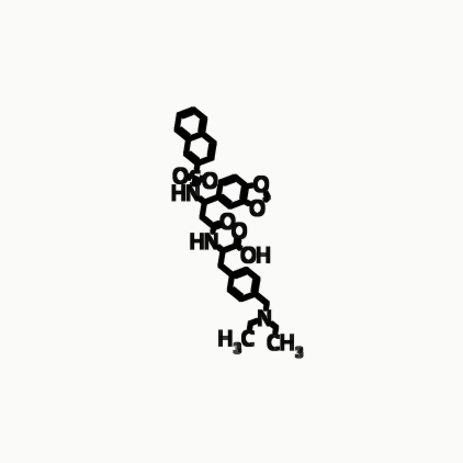 CCN(CC)Cc1ccc(CC(NC(=O)CC(NS(=O)(=O)c2ccc3ccccc3c2)c2ccc3c(c2)OCO3)C(=O)O)cc1